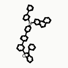 c1ccc(-c2cccc(N(c3ccc(-c4ccc(-c5cccc(-c6oc7ccccc7c6-c6ccccc6)c5)cc4)cc3)c3ccc4c(ccc5ccccc54)c3)c2)cc1